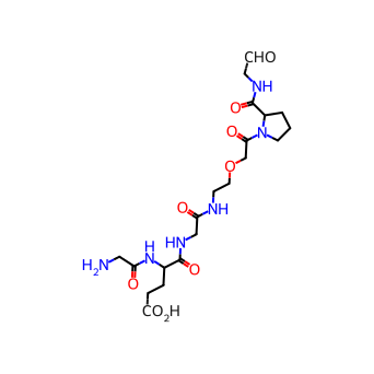 NCC(=O)NC(CCC(=O)O)C(=O)NCC(=O)NCCOCC(=O)N1CCCC1C(=O)NCC=O